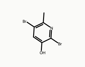 Cc1nc(Br)c(O)cc1Br